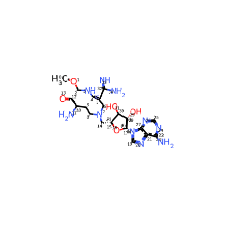 COCN/C=C(/CN(CCC(N)C=O)C[C@H]1O[C@@H](n2cnc3c(N)ncnc32)[C@@H](O)C1O)C(=N)N